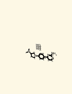 CN(C)C1CCN(c2ccc(-c3ccnc(N)n3)cc2)C1.Cl.Cl.Cl